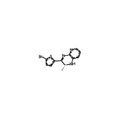 C[C@H]1Nc2cccnc2N=C1c1ccc(Br)s1